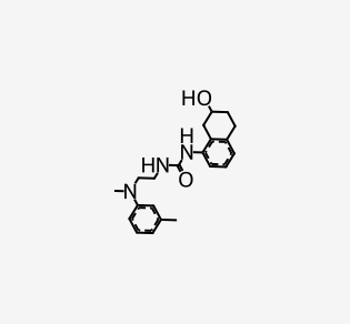 Cc1cccc(N(C)CCNC(=O)Nc2cccc3c2CC(O)CC3)c1